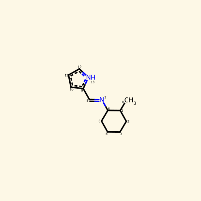 CC1CCCCC1/N=C/c1ccc[nH]1